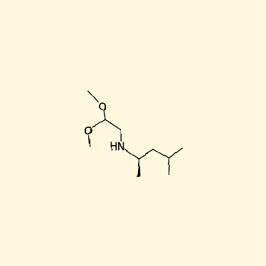 COC(CN[C@H](C)CC(C)C)OC